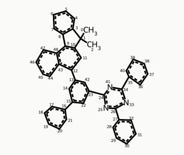 CC1(C)c2ccccc2-c2c1cc(-c1cc(-c3ccccc3)cc(-c3nc(-c4ccccc4)nc(-c4ccccc4)n3)c1)c1ccccc21